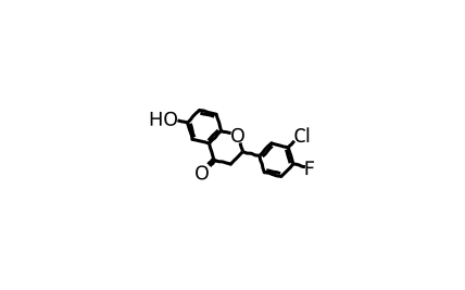 O=C1CC(c2ccc(F)c(Cl)c2)Oc2ccc(O)cc21